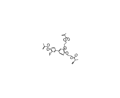 C#CC(C)C(=O)OCCOc1ccc(-c2ccc(OC(=O)C(=C)C)c(F)c2)cc1OCCOC(=O)C(=C)C